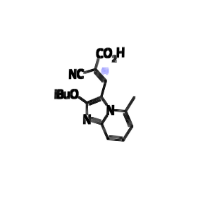 Cc1cccc2nc(OCC(C)C)c(/C=C(\C#N)C(=O)O)n12